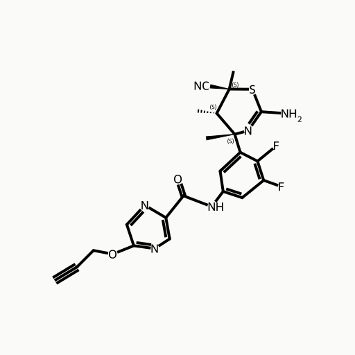 C#CCOc1cnc(C(=O)Nc2cc(F)c(F)c([C@@]3(C)N=C(N)S[C@](C)(C#N)[C@H]3C)c2)cn1